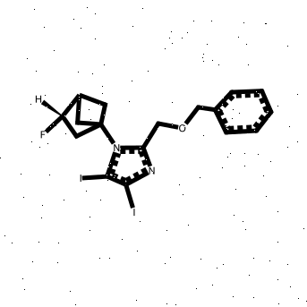 F[C@H]1CC2(n3c(COCc4ccccc4)nc(I)c3I)CC1C2